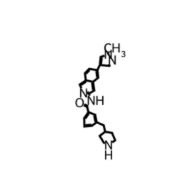 Cn1cc(-c2ccc3cnc(NC(=O)c4cccc(CC5CCNCC5)c4)cc3c2)cn1